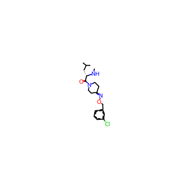 CN[C@@H](CC(C)C)C(=O)N1CCC(=NOCc2cccc(Cl)c2)CC1